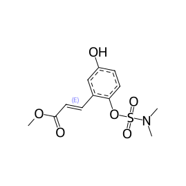 COC(=O)/C=C/c1cc(O)ccc1OS(=O)(=O)N(C)C